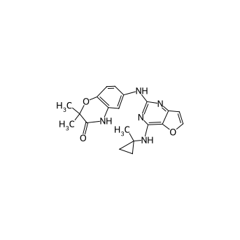 CC1(Nc2nc(Nc3ccc4c(c3)NC(=O)C(C)(C)O4)nc3ccoc23)CC1